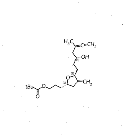 C=C=C(C)C[C@H](O)CC[C@@H]1O[C@@H](CCCOC(=O)C(C)(C)C)CC1=C